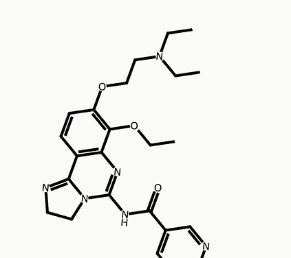 CCOc1c(OCCN(CC)CC)ccc2c1N=C(NC(=O)c1cccnc1)N1CCN=C21